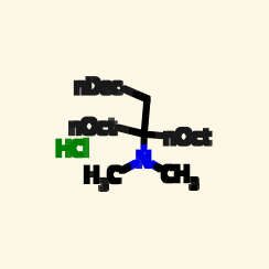 CCCCCCCCCCCC(CCCCCCCC)(CCCCCCCC)N(C)C.Cl